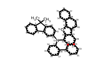 CC1(C)c2ccccc2-c2cc(N(c3ccccc3-c3ccccc3)c3cccc4c3oc3c5ccccc5ccc43)ccc21